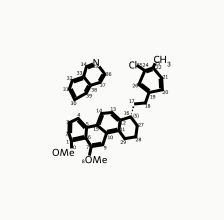 COc1cccc2c1c(OC)cc1c3c(ccc12)[C@H](CCc1ccc(C)c(Cl)c1)CCC3.c1ccc2cnccc2c1